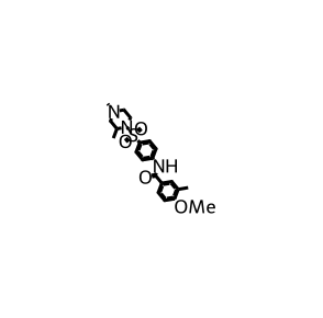 COc1ccc(C(=O)Nc2ccc(S(=O)(=O)N3CCN(C)CC3C)cc2)cc1C